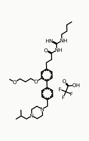 CCCCNC(=N)NC(=O)CCc1ccc(-c2ccc(CN3CCN(CC(C)C)CC3)cc2)c(OCCCOC)c1.O=C(O)C(F)(F)F